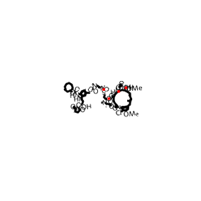 COc1cc2cc(c1Cl)N(C)C(=O)C[C@H](OC(=O)[C@H](C)N(C)C(=O)CCSC(=O)N(C)CCN(C)C(=O)OCc1ccc(NC(=O)OC3CCCCCCC3)c(NCC(O)ON3C(=O)CCC3=O)c1)[C@]1(C)O[C@H]1[C@H](C)[C@@H]1C[C@@](O)(NC(=O)O1)[C@H](OC)/C=C/C=C(\C)C2